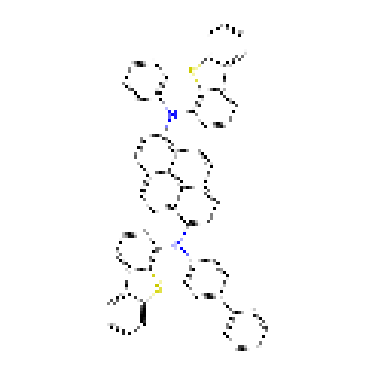 c1ccc(-c2ccc(N(c3ccc4ccc5c(N(c6ccccc6)c6cccc7c6sc6ccccc67)ccc6ccc3c4c65)c3cccc4c3sc3ccccc34)cc2)cc1